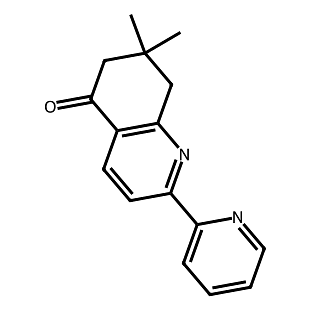 CC1(C)CC(=O)c2ccc(-c3ccccn3)nc2C1